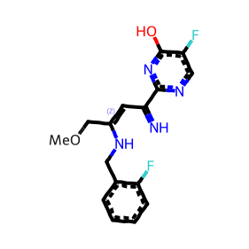 COC/C(=C/C(=N)c1ncc(F)c(O)n1)NCc1ccccc1F